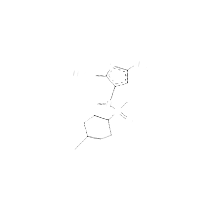 CC1CCC(P(C)(=O)N(C)c2cc(C(C)(C)C)sc2C(=O)O)CC1